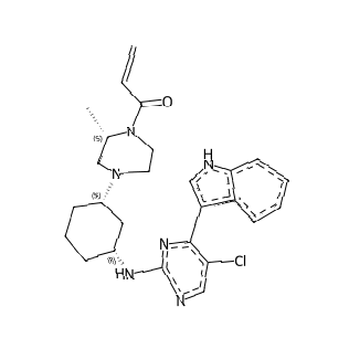 C=CC(=O)N1CCN([C@H]2CCC[C@@H](Nc3ncc(Cl)c(-c4c[nH]c5ccccc45)n3)C2)C[C@@H]1C